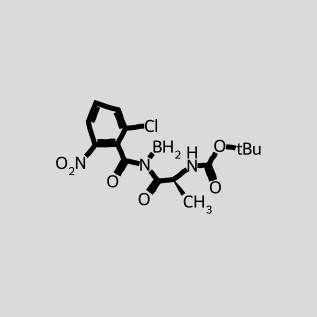 BN(C(=O)c1c(Cl)cccc1[N+](=O)[O-])C(=O)[C@H](C)NC(=O)OC(C)(C)C